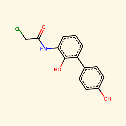 O=C(CCl)Nc1cccc(-c2ccc(O)cc2)c1O